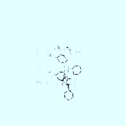 COc1cc(N(c2cc(OC)c(OC)c(OC)c2)c2ccccc2-c2nnc(-c3ccccc3)o2)cc(OC)c1OC